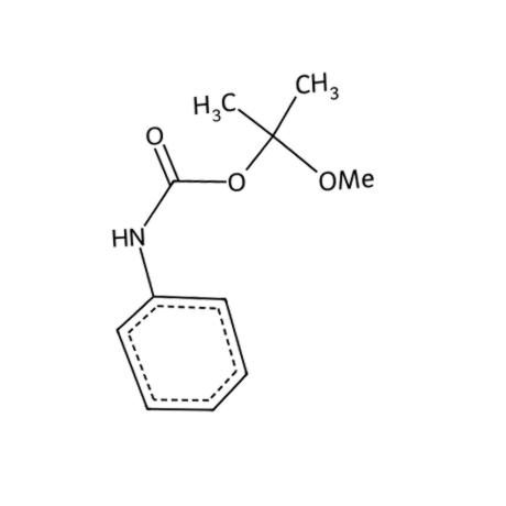 COC(C)(C)OC(=O)Nc1ccccc1